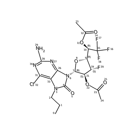 CCCn1c(=O)n([C@@H]2O[C@H]([C@@H](OC(C)=O)C(F)(F)F)[C@H](F)[C@H]2OC(C)=O)c2nc(N)nc(Cl)c21